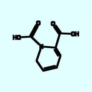 O=C(O)C1=CC=CCN1C(=O)O